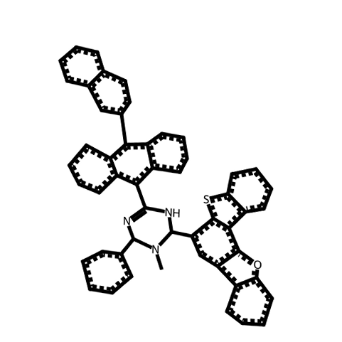 CN1C(c2ccccc2)N=C(c2c3ccccc3c(-c3ccc4ccccc4c3)c3ccccc23)NC1c1cc2c3ccccc3oc2c2c1sc1ccccc12